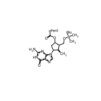 C=C1C(CO[Si](C)(C)C(C)(C)C)C(OC(=O)CCCCC)CC1n1cnc2c(=O)[nH]c(N)nc21